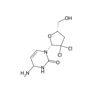 NC1C=CN([C@@H]2O[C@H](CO)CC2(Cl)Cl)C(=O)N1